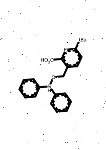 CC(C)(C)c1ccc(CO[SiH](c2ccccc2)c2ccccc2)c(C(=O)O)n1